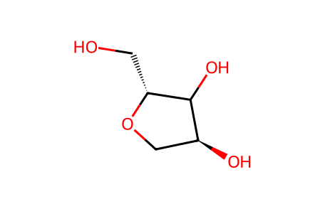 OC[C@H]1OC[C@H](O)C1O